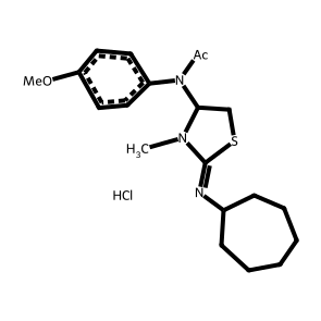 COc1ccc(N(C(C)=O)C2CSC(=NC3CCCCCC3)N2C)cc1.Cl